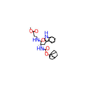 COC(=O)CCNC(=O)[C@@](C)(Cc1c[nH]c2ccccc12)NC(=O)OC1C2CC3CC(C2)CC1C3